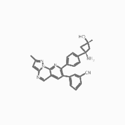 Cc1cc2ncc3cc(-c4cccc(C#N)c4)c(-c4ccc([C@]5(N)C[C@](C)(O)C5)cc4)nc3n2n1